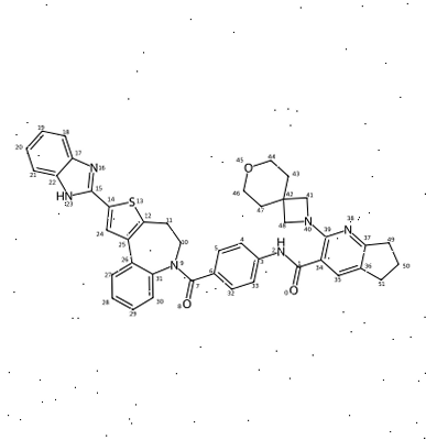 O=C(Nc1ccc(C(=O)N2CCc3sc(-c4nc5ccccc5[nH]4)cc3-c3ccccc32)cc1)c1cc2c(nc1N1CC3(CCOCC3)C1)CCC2